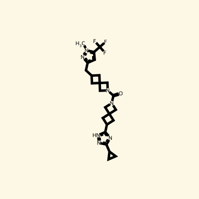 Cn1nc(CC2CC3(C2)CN(C(=O)N2CC4(CC(c5nc(C6CC6)n[nH]5)C4)C2)C3)cc1C(F)(F)F